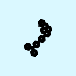 c1ccc(N(c2ccccc2)c2ccc(-c3ccc(-c4ccc5ccc6cc7cccnc7c7ccc4c5c67)cc3)cc2)cc1